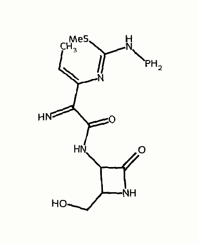 C/C=C(\N=C(\NP)SC)C(=N)C(=O)NC1C(=O)NC1CO